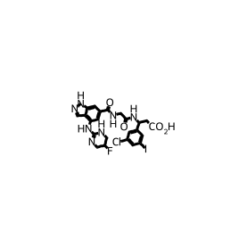 O=C(O)CC(NC(=O)CNC(=O)c1cc(NC2=NCC(F)CN2)c2cn[nH]c2c1)c1cc(Cl)cc(I)c1